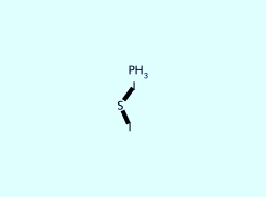 ISI.P